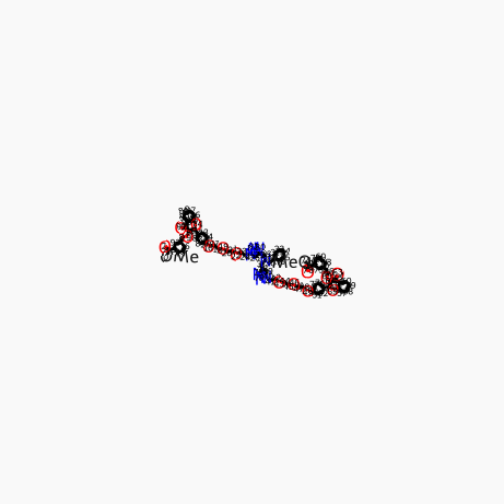 COC(=O)c1cccc(COc2c(-c3ccc(OCCOCCOCCn4cc(CN(Cc5ccccc5)Cc5cn(CCOCCOCCOc6ccc(-c7oc8ccccc8c(=O)c7OCc7cccc(C(=O)OC)c7)cc6)nn5)nn4)cc3)oc3ccccc3c2=O)c1